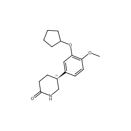 COc1ccc([C@@H]2CCC(=O)NC2)cc1OC1CCCC1